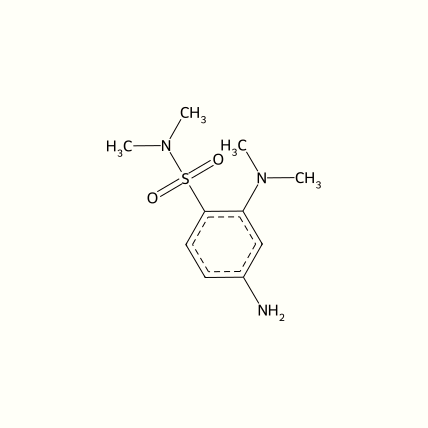 CN(C)c1cc(N)ccc1S(=O)(=O)N(C)C